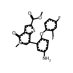 COC(=O)c1cc2c(=O)n(C)cc(-c3cc(N)ccc3Oc3ccc(F)cc3F)c2s1